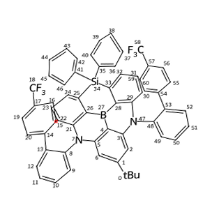 CC(C)(C)c1cc2c3c(c1)N(c1ccccc1-c1ccc(C(F)(F)F)cc1)c1cccc4c1B3c1c(cccc1[Si]4(c1ccccc1)c1ccccc1)N2c1ccccc1-c1ccc(C(F)(F)F)cc1